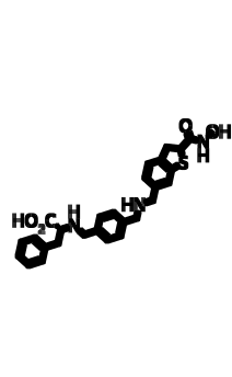 O=C(NO)C1Cc2ccc(CNCc3ccc(CN[C@@H](Cc4ccccc4)C(=O)O)cc3)cc2S1